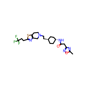 Cc1nc(CC(=O)N[C@H]2CC[C@H](CCN3CCc4sc(CCC(F)(F)F)nc4C3)CC2)no1